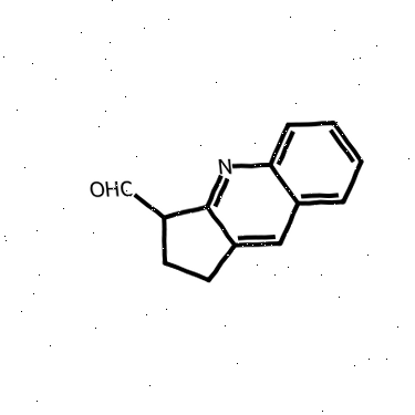 O=CC1CCc2cc3ccccc3nc21